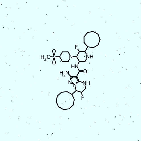 CS(=O)(=O)C1CCN(C2C(NC(=O)c3c(N)nn4c3NCC(F)C4C3CCCCCCCCC3)CNC(C3CCCCCCCC3)C2F)CC1